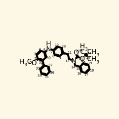 COc1ccc(Nc2ccc(CCN(Cc3ccccc3)C(=O)OC(C)(C)C)cc2)cc1-c1ccccc1